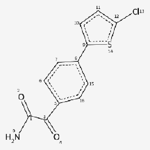 NC(=O)C(=O)c1ccc(-c2ccc(Cl)s2)cc1